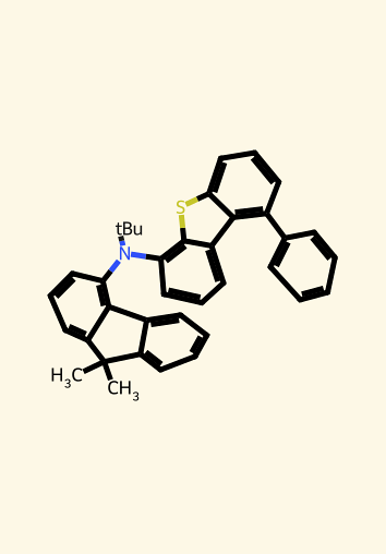 CC1(C)c2ccccc2-c2c(N(c3cccc4c3sc3cccc(-c5ccccc5)c34)C(C)(C)C)cccc21